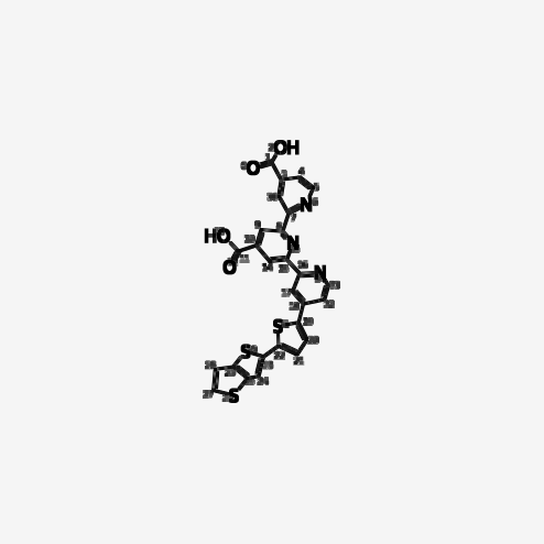 O=C(O)c1ccnc(-c2cc(C(=O)O)cc(-c3cc(-c4ccc(-c5cc6sccc6s5)s4)ccn3)n2)c1